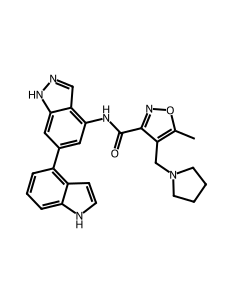 Cc1onc(C(=O)Nc2cc(-c3cccc4[nH]ccc34)cc3[nH]ncc23)c1CN1CCCC1